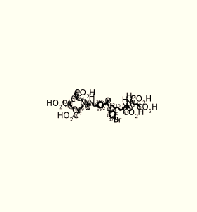 O=C(O)CC[C@H](NC(=O)N[C@@H](CCCCN(Cc1ccc(Br)cc1)C(=O)c1ccc(CNC(=O)CN2CCN(CC(=O)O)CCN(CC(=O)O)CCN(CC(=O)O)CC2)cc1)C(=O)O)C(=O)O